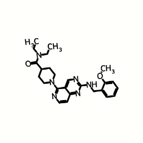 CCN(CC)C(=O)C1CCN(c2nccc3nc(NCc4ccccc4OC)ncc23)CC1